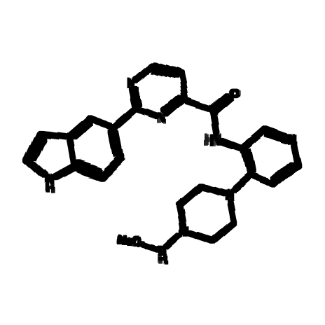 COBN1CCN(c2ccncc2NC(=O)c2ccnc(-c3ccc4[nH]ccc4c3)n2)CC1